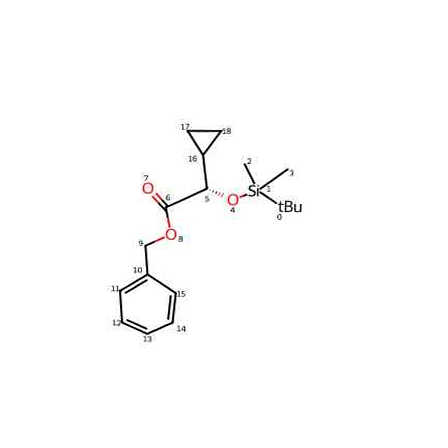 CC(C)(C)[Si](C)(C)O[C@H](C(=O)OCc1ccccc1)C1CC1